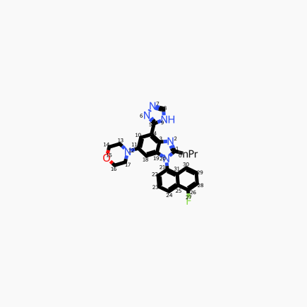 CCCc1nc2c(-c3nnc[nH]3)cc(N3CCOCC3)cc2n1-c1cccc2c(F)cccc12